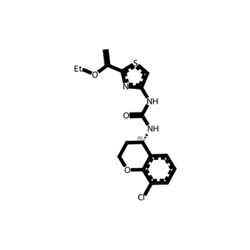 C=C(OCC)c1nc(NC(=O)N[C@H]2CCOc3c(Cl)cccc32)cs1